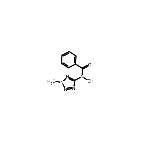 CN(C(=O)c1ccccc1)c1nnn(C)n1